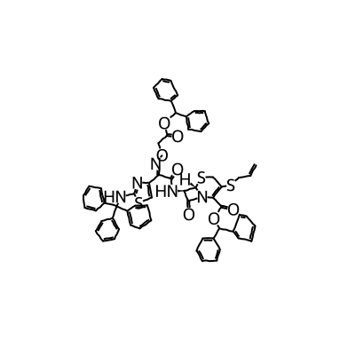 C=CCSC1=C(C(=O)OC(c2ccccc2)c2ccccc2)N2C(=O)[C@@H](NC(=O)/C(=N\OCC(=O)OC(c3ccccc3)c3ccccc3)c3csc(NC(c4ccccc4)(c4ccccc4)c4ccccc4)n3)[C@@H]2SC1